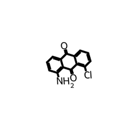 Nc1cccc2c1C(=O)c1c(Cl)cccc1C2=O